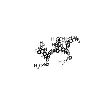 C=CCN1CCC[C@H]1COc1nc(N2CCN(C(=O)OC(C)(C)C)CC2)c2cc(Cl)c(-c3ccc(F)c4sc(NC(=O)OC(C)(C)C)c(C#N)c34)c(F)c2n1.C=CCN1CCC[C@H]1COc1nc(N2CCNCC2)c2cc(Cl)c(-c3ccc(F)c4sc(N)c(C#N)c34)c(F)c2n1